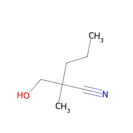 CCCC(C)(C#N)CO